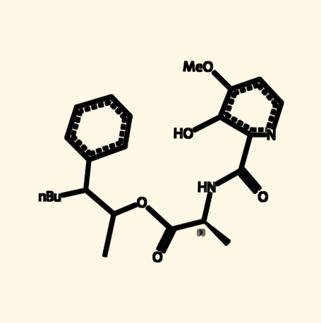 CCCCC(c1ccccc1)C(C)OC(=O)[C@H](C)NC(=O)c1nccc(OC)c1O